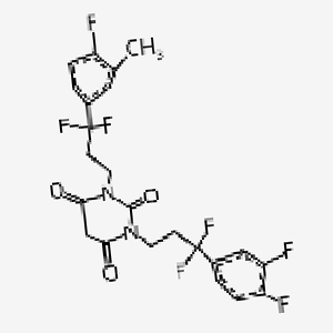 Cc1cc(C(F)(F)CCN2C(=O)CC(=O)N(CCC(F)(F)c3ccc(F)c(F)c3)C2=O)ccc1F